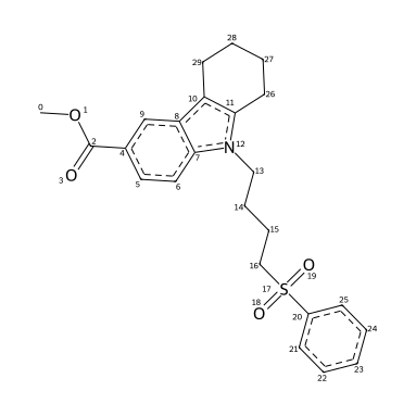 COC(=O)c1ccc2c(c1)c1c(n2CCCCS(=O)(=O)c2ccccc2)CCCC1